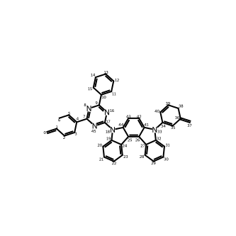 C=C/C=C\C(=C/C)c1nc(-c2ccccc2)nc(-n2c3ccccc3c3c4c5ccccc5n(C5=CC(=C)CC=C5)c4ccc32)n1